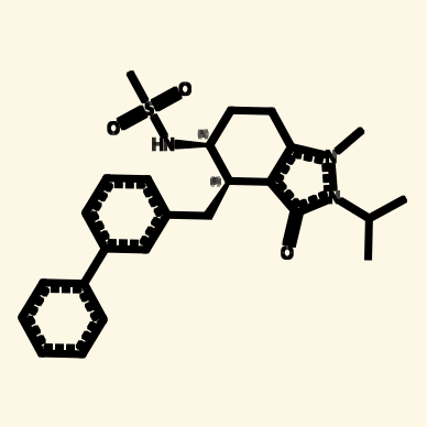 CC(C)n1c(=O)c2c(n1C)CC[C@H](NS(C)(=O)=O)[C@@H]2Cc1cccc(-c2ccccc2)c1